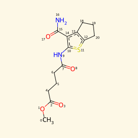 COC(=O)CCCC(=O)Nc1sc2c(c1C(N)=O)CCC2